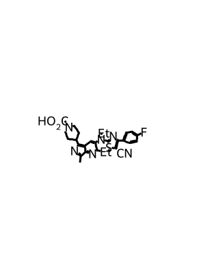 CCC1N=C2C(C)=NC(C3CCN(C(=O)O)CC3)=C2C=C1N(CC)c1nc(-c2ccc(F)cc2)c(C#N)s1